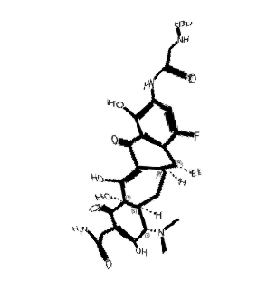 CC[C@H]1c2c(F)cc(NC(=O)CNC(C)(C)C)c(O)c2C(=O)C2=C(O)[C@]3(O)C(=O)C(C(N)=O)=C(O)[C@@H](N(C)C)[C@@H]3C[C@@H]21